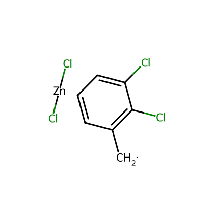 [CH2]c1cccc(Cl)c1Cl.[Cl][Zn][Cl]